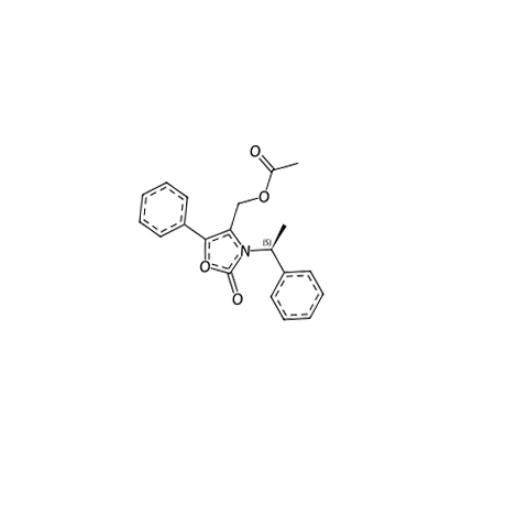 CC(=O)OCc1c(-c2ccccc2)oc(=O)n1[C@@H](C)c1ccccc1